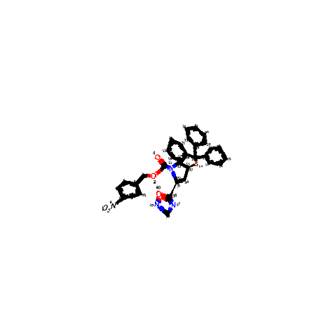 O=C(OCc1ccc([N+](=O)[O-])cc1)N1C[C@@H](SC(c2ccccc2)(c2ccccc2)c2ccccc2)C[C@H]1c1ncno1